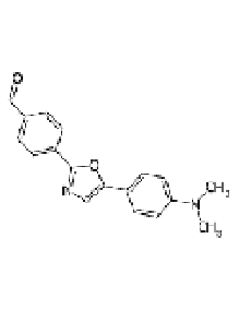 CN(C)c1ccc(-c2cnc(-c3ccc(C=O)cc3)o2)cc1